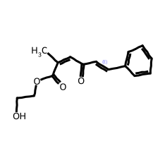 CC(=CC(=O)/C=C/c1ccccc1)C(=O)OCCO